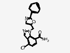 NC(=O)c1ccc(Cl)c2cnn(Cc3cnc(-c4ccccc4)o3)c12